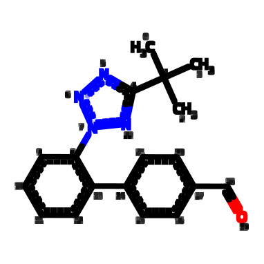 CC(C)(C)c1nnn(-c2ccccc2-c2ccc(C=O)cc2)n1